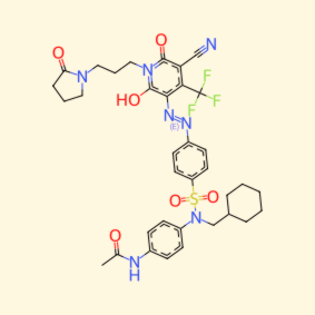 CC(=O)Nc1ccc(N(CC2CCCCC2)S(=O)(=O)c2ccc(/N=N/c3c(C(F)(F)F)c(C#N)c(=O)n(CCCN4CCCC4=O)c3O)cc2)cc1